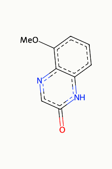 COc1cccc2[nH]c(=O)cnc12